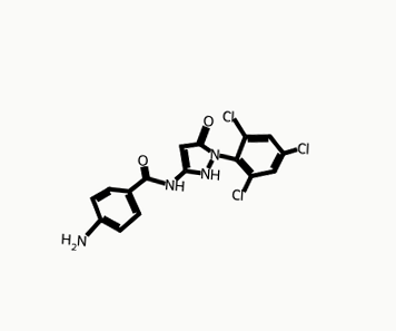 Nc1ccc(C(=O)Nc2cc(=O)n(-c3c(Cl)cc(Cl)cc3Cl)[nH]2)cc1